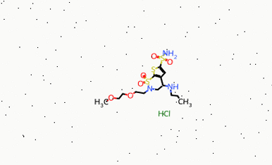 CCCNC1CN(CCOCCOC)S(=O)(=O)c2sc(S(N)(=O)=O)cc21.Cl